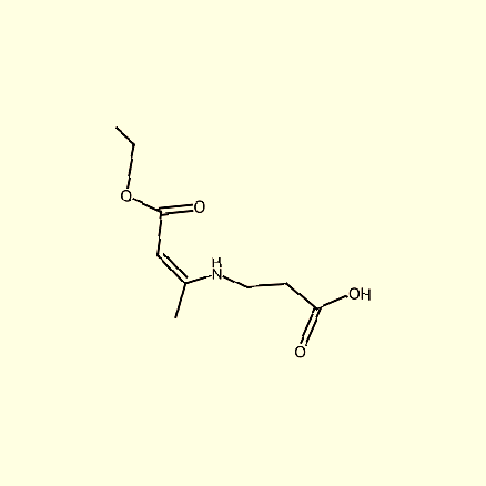 CCOC(=O)C=C(C)NCCC(=O)O